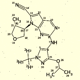 [2H]C([2H])([2H])n1cc(Nc2ncc3cc(C#N)n([C@H]4COC[C@@H]4C)c3n2)c(OC(C)C)n1